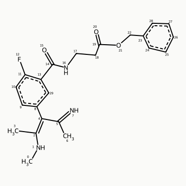 CN/C(C)=C(\C(C)=N)c1ccc(F)c(C(=O)NCCC(=O)OCc2ccccc2)c1